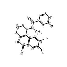 CN(C(=O)c1ccnc(F)c1)[C@@H]1COCc2[nH]c(=O)c3cc(F)c(F)cc3c21